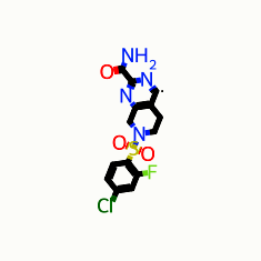 NC(=O)c1n[c]c2c(n1)CN(S(=O)(=O)c1ccc(Cl)cc1F)CC2